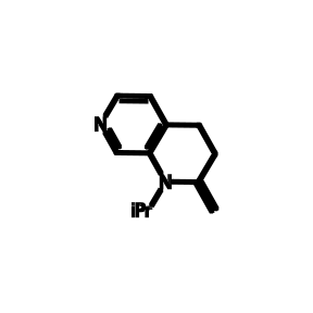 C=C1CCc2ccncc2N1C(C)C